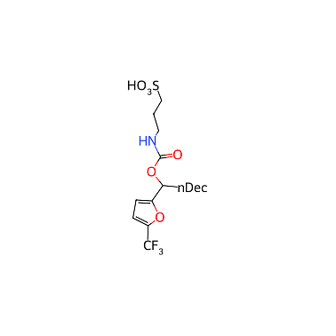 CCCCCCCCCCC(OC(=O)NCCCS(=O)(=O)O)c1ccc(C(F)(F)F)o1